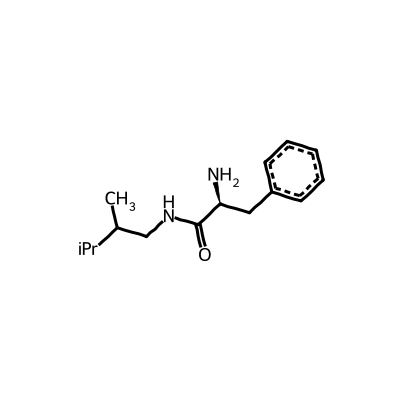 CC(C)C(C)CNC(=O)[C@@H](N)Cc1ccccc1